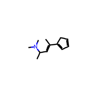 CC(=CC(C)N(C)C)C1=CC=CC1